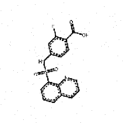 O=C(O)c1ccc(NS(=O)(=O)c2cccc3cccnc23)cc1F